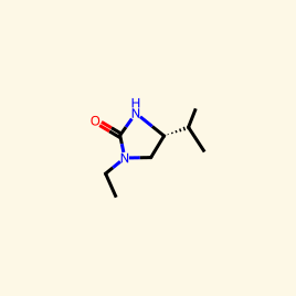 CCN1C[C@@H](C(C)C)NC1=O